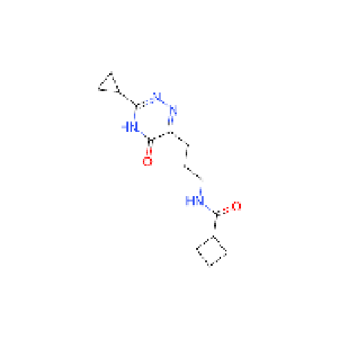 O=C(NCCCc1nnc(C2CC2)[nH]c1=O)C1CCC1